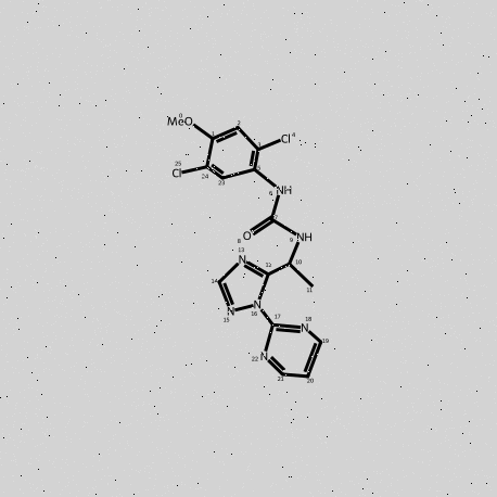 COc1cc(Cl)c(NC(=O)NC(C)c2ncnn2-c2ncccn2)cc1Cl